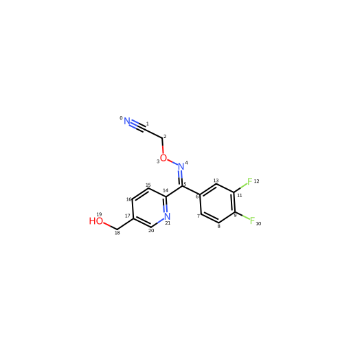 N#CCO/N=C(/c1ccc(F)c(F)c1)c1ccc(CO)cn1